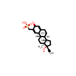 C#C[C@@]1(O)CC[C@H]2[C@@H]3CCC4=CC(=O)C(CS(=O)(=O)O)=C[C@]4(C)[C@H]3CC[C@@]21C